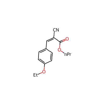 CCCOC(=O)C(C#N)=Cc1ccc(OCC)cc1